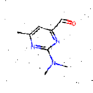 Cc1cc(C=O)nc(N(C)C)n1